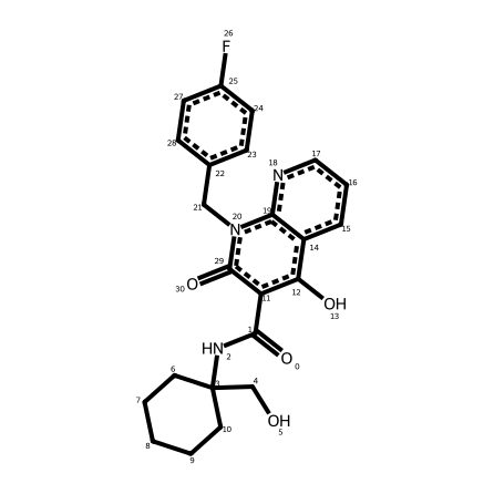 O=C(NC1(CO)CCCCC1)c1c(O)c2cccnc2n(Cc2ccc(F)cc2)c1=O